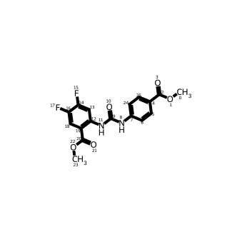 COC(=O)c1ccc(NC(=O)Nc2cc(F)c(F)cc2C(=O)OC)cc1